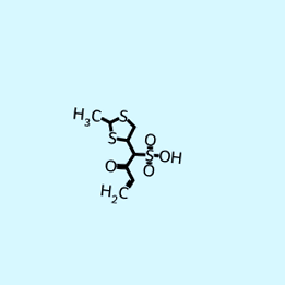 C=CC(=O)C(C1CSC(C)S1)S(=O)(=O)O